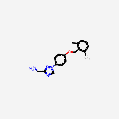 Cc1cccc(C(F)(F)F)c1COc1ccc(-n2cnc(CN)n2)cc1